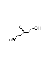 CCCCCC(=O)CCO